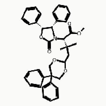 COC(=O)[C@@H](N1C(=O)O[C@H](c2ccccc2)[C@@H]1c1ccccc1)C(C)(C)CC1OCC(c2ccccc2)(c2ccccc2)CO1